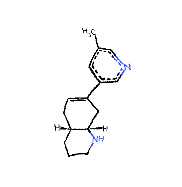 Cc1cncc(C2=CC[C@H]3CCCN[C@H]3C2)c1